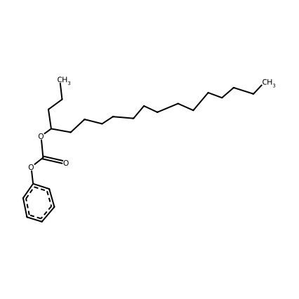 CCCCCCCCCCCCCCC(CCC)OC(=O)Oc1ccccc1